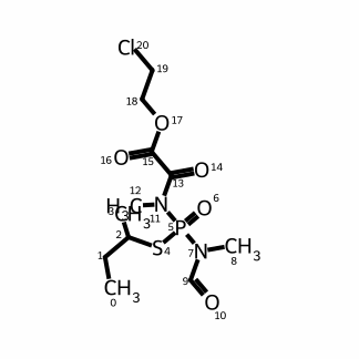 CCC(C)SP(=O)(N(C)C=O)N(C)C(=O)C(=O)OCCCl